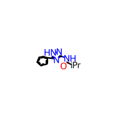 CC(C)C(=O)Nc1n[nH]c(-c2ccccc2)n1